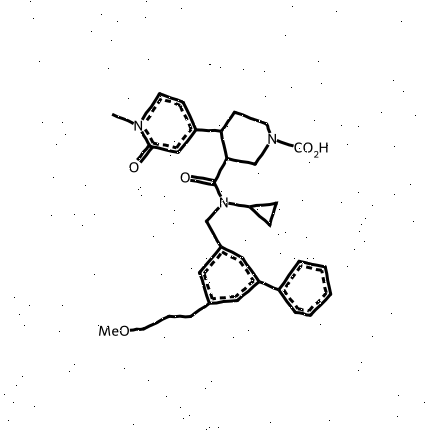 COCCCc1cc(CN(C(=O)C2CN(C(=O)O)CCC2c2ccn(C)c(=O)c2)C2CC2)cc(-c2ccccc2)c1